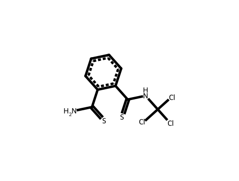 NC(=S)c1ccccc1C(=S)NC(Cl)(Cl)Cl